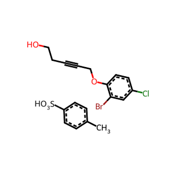 Cc1ccc(S(=O)(=O)O)cc1.OCCC#CCOc1ccc(Cl)cc1Br